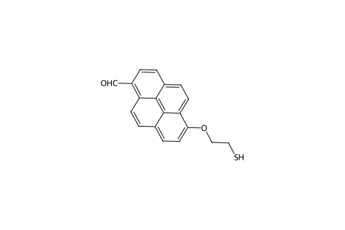 O=Cc1ccc2ccc3c(OCCS)ccc4ccc1c2c43